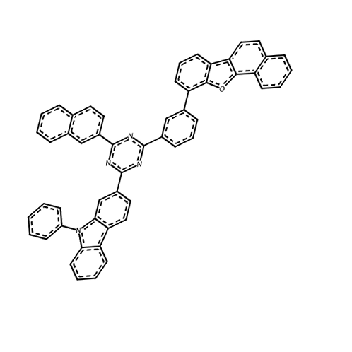 c1ccc(-n2c3ccccc3c3ccc(-c4nc(-c5cccc(-c6cccc7c6oc6c8ccccc8ccc76)c5)nc(-c5ccc6ccccc6c5)n4)cc32)cc1